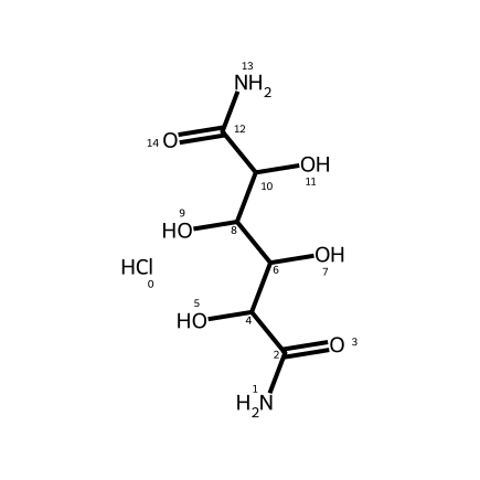 Cl.NC(=O)C(O)C(O)C(O)C(O)C(N)=O